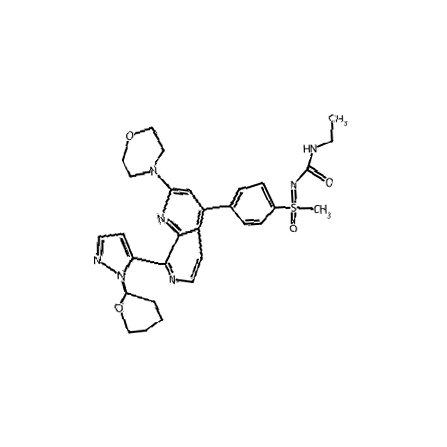 CCNC(=O)N=S(C)(=O)c1ccc(-c2cc(N3CCOCC3)nc3c(-c4ccnn4C4CCCCO4)nccc23)cc1